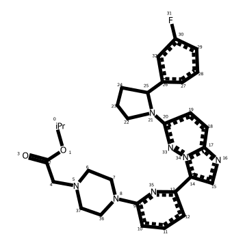 CC(C)OC(=O)CN1CCN(c2cccc(-c3cnc4ccc(N5CCCC5c5cccc(F)c5)nn34)n2)CC1